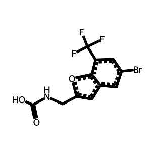 O=C(O)NCc1cc2cc(Br)cc(C(F)(F)F)c2o1